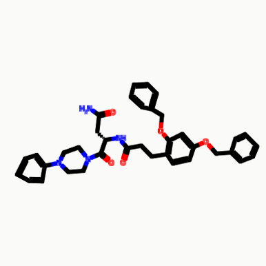 NC(=O)C[C@H](NC(=O)CCc1ccc(OCc2ccccc2)cc1OCc1ccccc1)C(=O)N1CCN(c2ccccc2)CC1